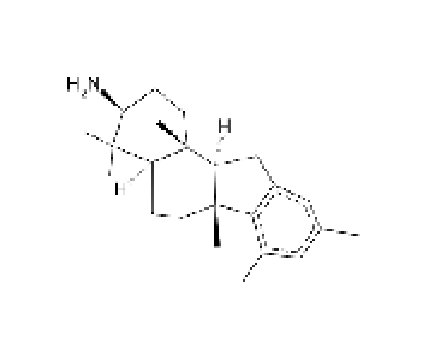 Cc1cc(C)c2c(c1)C[C@@H]1[C@@]3(C)CC[C@H](N)C(C)(C)[C@@H]3CC[C@@]21C